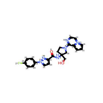 O=C(NC1(CO)CCN(c2nccn3cccc23)C1)c1ccn(-c2ccc(F)cc2)n1